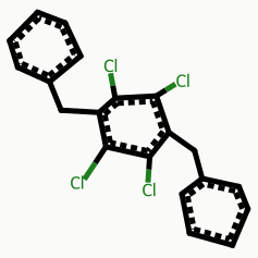 Clc1c(Cl)c(Cc2ccccc2)c(Cl)c(Cl)c1Cc1ccccc1